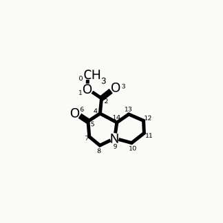 COC(=O)C1C(=O)CCN2CCCCC12